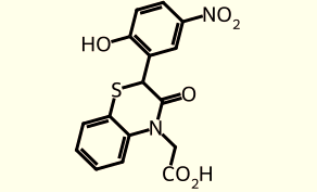 O=C(O)CN1C(=O)C(c2cc([N+](=O)[O-])ccc2O)Sc2ccccc21